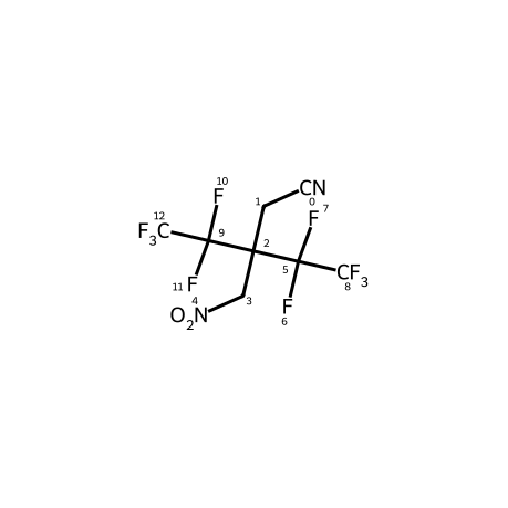 N#CCC(C[N+](=O)[O-])(C(F)(F)C(F)(F)F)C(F)(F)C(F)(F)F